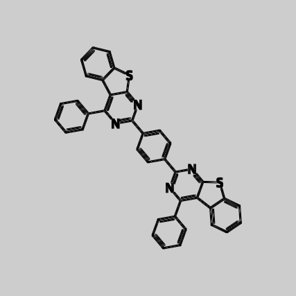 c1ccc(-c2nc(-c3ccc(-c4nc(-c5ccccc5)c5c(n4)sc4ccccc45)cc3)nc3sc4ccccc4c23)cc1